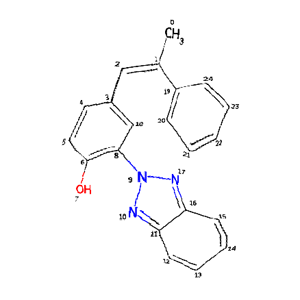 CC(=Cc1ccc(O)c(-n2nc3ccccc3n2)c1)c1ccccc1